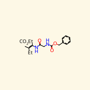 CCOC(=O)/C(NC(=O)CNC(=O)OCc1ccccc1)=C(\C)CC